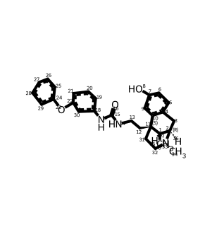 C[C@H]1[C@H]2Cc3ccc(O)cc3[C@@]1(CCNC(=O)Nc1cccc(Oc3ccccc3)c1)CCN2C